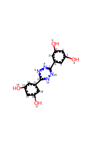 Oc1cc(O)cc(-c2nnc(-c3cc(O)cc(O)c3)nn2)c1